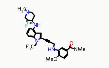 CNC(=O)c1ccc(OC)c(NCC#Cc2cc3c(N[C@@H]4CCN(C)C[C@@H]4F)cccc3n2CC(F)(F)F)c1